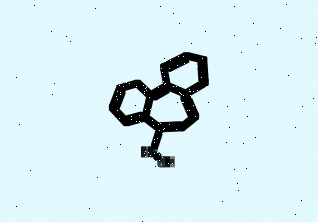 ONC1=CC=c2ccccc2=C2CC=CC=C12